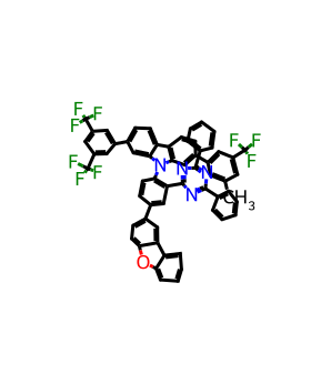 Cc1cc(-c2ccc3c4ccc(-c5cc(C(F)(F)F)cc(C(F)(F)F)c5)cc4n(-c4ccc(-c5ccc6oc7ccccc7c6c5)cc4-c4nc(-c5ccccc5)nc(-c5ccccc5)n4)c3c2)cc(C(F)(F)F)c1